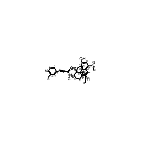 Cc1ccc(C#CC(=O)N(C)[C@@H]2CC[C@H]3[C@H]4Cc5c(N(C)C)cc(O)c6c5[C@@]3(CCN4C)[C@H]2O6)cc1C